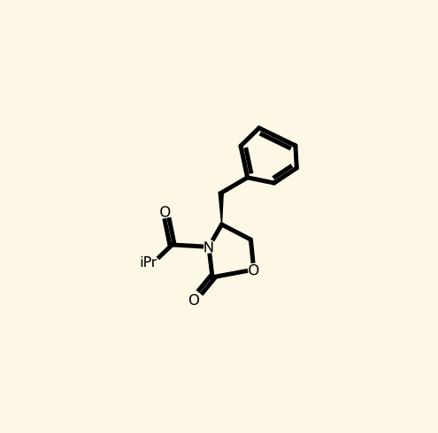 CC(C)C(=O)N1C(=O)OC[C@@H]1Cc1ccccc1